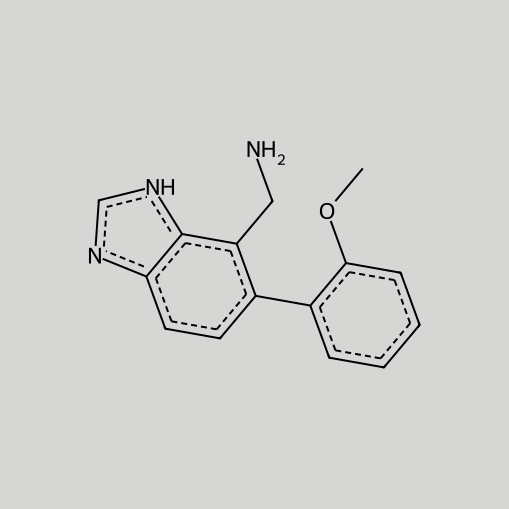 COc1ccccc1-c1ccc2nc[nH]c2c1CN